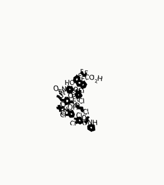 CC1(C)CON(Cc2ccccc2Cl)C1=O.CCSC(C)CC1CC(=O)C(/C(CC)=N/OC/C=C/Cl)=C(O)C1.Cc1c(Cl)ccc(OC(C)C(=O)Nc2ccccc2)c1Cl.O=C(O)C(F)(F)C(F)F.O=[N+]([O-])c1ccc(Oc2c(F)cc(Cl)cc2Cl)cc1.Oc1cccc2c1Cc1ccccc1-2